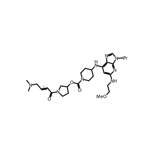 COCCNc1cc(NC2CCN(C(=O)OC3CCN(C(=O)/C=C/CN(C)C)C3)CC2)c2ncn(C(C)C)c2n1